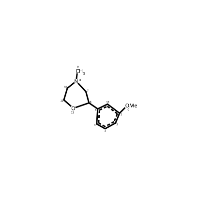 COc1cccc(C2CN(C)CCO2)c1